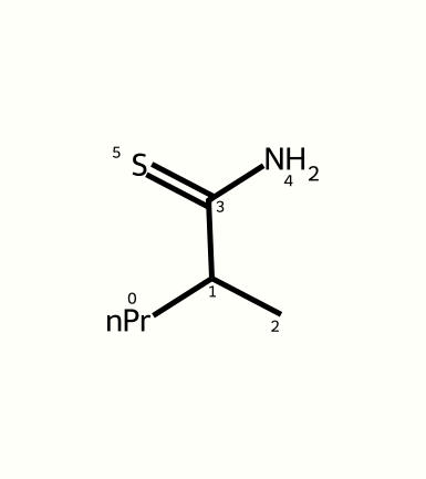 CCCC(C)C(N)=S